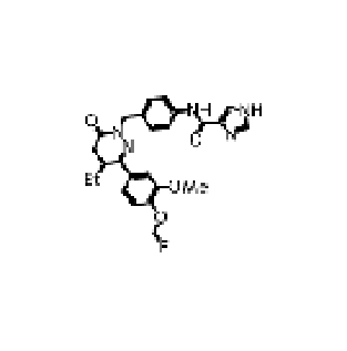 CCC1CC(=O)N(Cc2ccc(NC(=O)c3c[nH]cn3)cc2)N=C1c1ccc(OCF)c(OC)c1